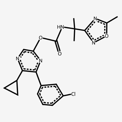 Cc1nc(C(C)(C)NC(=O)Oc2cnc(C3CC3)c(-c3cccc(Cl)c3)n2)no1